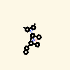 Cc1ccc2c(c1)c1cc(C)ccc1n2-c1cc2c3c(c1)c1cc(-c4ccc5ccccc5c4)cc4c1n3B(c1ccccc1-4)c1ccccc1-2